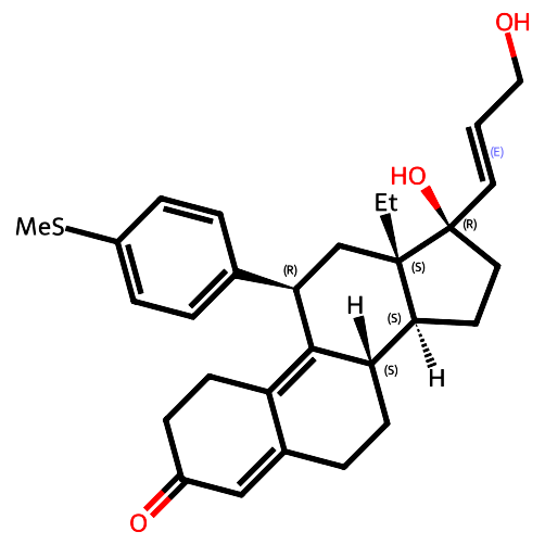 CC[C@]12C[C@H](c3ccc(SC)cc3)C3=C4CCC(=O)C=C4CC[C@H]3[C@@H]1CC[C@@]2(O)/C=C/CO